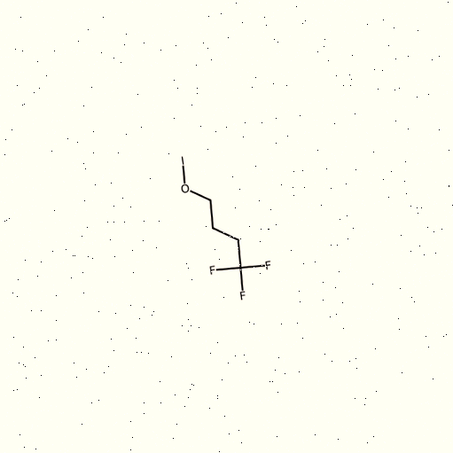 FC(F)(F)CCCOI